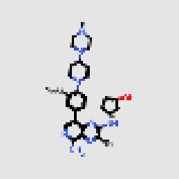 CCc1nc2c(N)ncc(-c3ccc(N4CCC(N5CCN(C)CC5)CC4)c(OC)c3)c2nc1N[C@@H]1CC[C@@](C)(O)C1